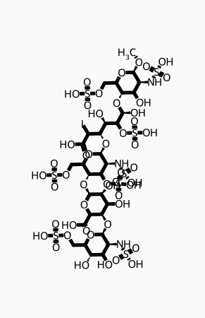 CO[C@@H]1OC(COS(=O)(=O)O)[C@@H](O[C@@H](O)C(OS(=O)(=O)O)[C@H](O)[C@H](O[C@@H]2OC(COS(=O)(=O)O)[C@@H](O[C@@H]3OC(C(=O)O)[C@H](O[C@@H]4OC(COS(=O)(=O)O)[C@@H](O)C(O)[C@@H]4NS(=O)(=O)O)C(O)[C@@H]3O)C(OS(=O)(=O)O)[C@@H]2NS(=O)(=O)O)C(I)C(=O)O)C(O)[C@@H]1NS(=O)(=O)O